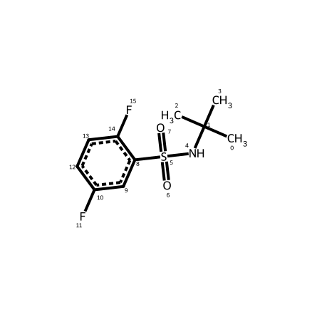 CC(C)(C)NS(=O)(=O)c1cc(F)ccc1F